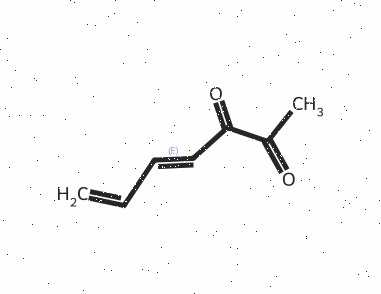 C=C/C=C/C(=O)C(C)=O